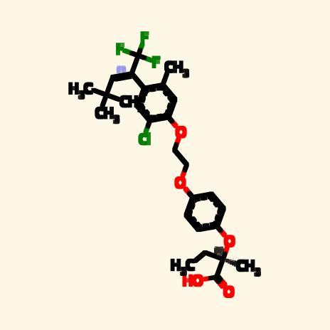 CC[C@@](C)(Oc1ccc(OCCOc2cc(C)c(/C(=C\C(C)(C)C)C(F)(F)F)cc2Cl)cc1)C(=O)O